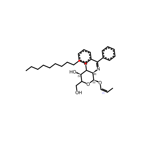 C/C=C\O[C@H]1OC(CO)[C@@H](O)C(OCCCCCCCCCC)[C@H]1N=C(c1ccccc1)c1ccccc1